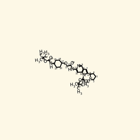 CN1CCC[C@@H]1c1cc2cnc(NC(=O)COC3CCC(NC(=O)OC(C)(C)C)CC3)cc2n1C(=O)OC(C)(C)C